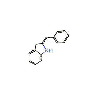 C(=C1Cc2ccccc2N1)c1ccccc1